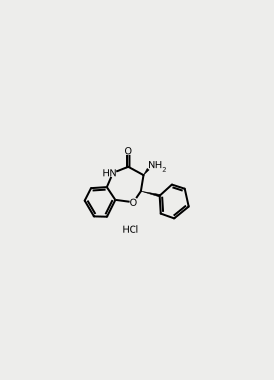 Cl.N[C@@H]1C(=O)Nc2ccccc2O[C@@H]1c1ccccc1